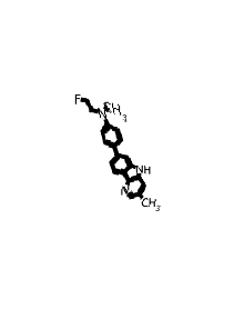 Cc1cnc2c(c1)[nH]c1cc(-c3ccc(N(C)CCF)cc3)ccc12